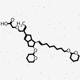 CC=C(COCC(=O)O)C1=CC2C[C@@H](OC3CCCCO3)[C@H](C=CCCCCCCOC3CCCCO3)C2C1